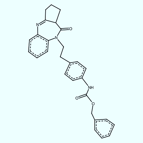 O=C(Nc1ccc(CCN2C(=O)C3CCCC3=Nc3ccccc32)cc1)OCc1ccccc1